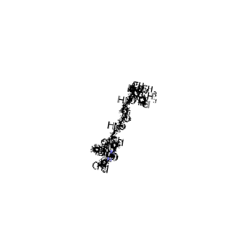 Cc1sc2c(c1C)C(c1ccc(Cl)cc1)=N[C@@H](CC(=O)NCCN1CCN(C(=O)CCCC(=O)NCCCCCCCC(=O)N[C@@H](Cc3ccccc3)C(=O)N3C/C(=C\c4ccc(Cl)c(Cl)c4)C(=O)/C(=C/c4ccc(Cl)c(Cl)c4)C3)CC1)c1cnc(C)n1-2